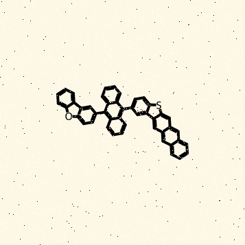 c1ccc2cc3cc4c(cc3cc2c1)sc1ccc(-c2c3ccccc3c(-c3ccc5oc6ccccc6c5c3)c3ccccc23)cc14